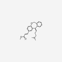 COC(=O)/C=C/c1ccc2c(c1)/C(=C\CCN(C)C)c1ccccc1CO2